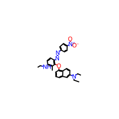 CCNc1ccc(/N=N/c2ccc([N+](=O)[O-])cc2)c(Oc2cccc3cc(N(CC)CC)ccc23)c1C